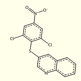 O=[N+]([O-])c1cc(Cl)c(Sc2cnc3ccccc3c2)c(Cl)c1